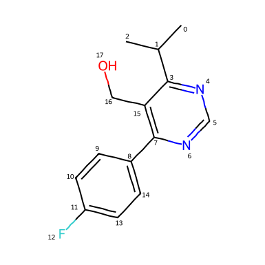 CC(C)c1ncnc(-c2ccc(F)cc2)c1CO